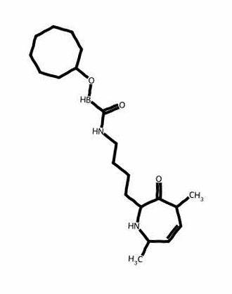 CC1C=CC(C)C(=O)C(CCCCNC(=O)BOC2CCCCCCC2)N1